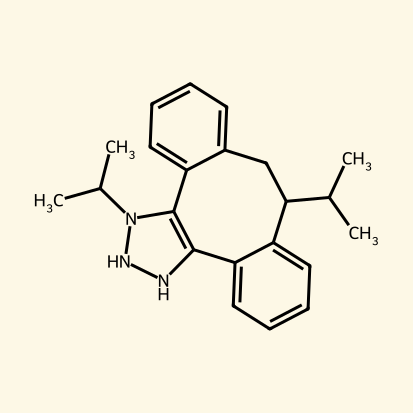 CC(C)C1Cc2ccccc2C2=C(NNN2C(C)C)c2ccccc21